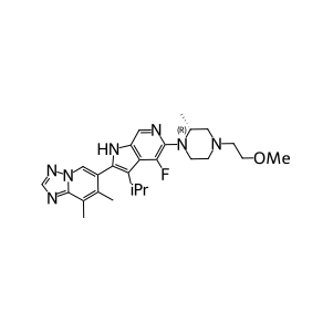 COCCN1CCN(c2ncc3[nH]c(-c4cn5ncnc5c(C)c4C)c(C(C)C)c3c2F)[C@H](C)C1